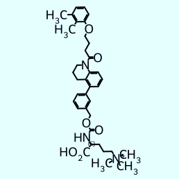 Cc1cccc(OCCCC(=O)N2CCCc3c(-c4cccc(COC(=O)N[C@@H](CCC[N+](C)(C)C)C(=O)O)c4)cccc32)c1C